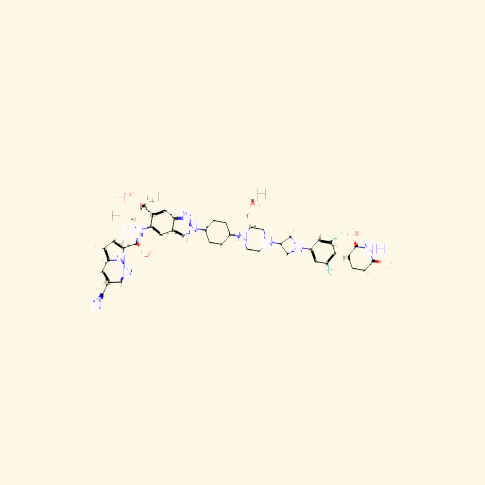 COC[C@H]1CN(C2CN(c3cc(F)c([C@H]4CCC(=O)NC4=O)c(F)c3)C2)CCN1C1CCC(n2cc3cc(NC(=O)c4ccc5cc(C#N)cnn45)c(C(C)(C)O)cc3n2)CC1